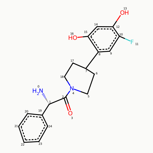 N[C@H](C(=O)N1CCC(c2cc(F)c(O)cc2O)CC1)c1ccccc1